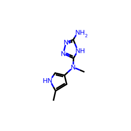 Cc1cc(N(C)c2nnc(N)[nH]2)c[nH]1